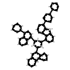 c1ccc(-c2ccc(-c3cccc4c3oc3cccc(-c5nc(-c6ccc(-c7ccccc7)c7ccccc67)nc(-c6cc7ccccc7c7ccccc67)n5)c34)cc2)cc1